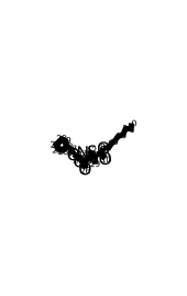 CCCCCCCCOC(=O)c1sc2nc(OCc3ccccc3)oc(=O)c2c1C